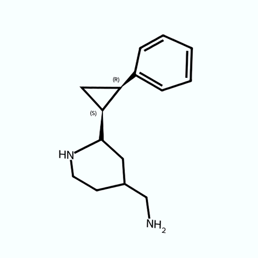 NCC1CCNC([C@H]2C[C@H]2c2ccccc2)C1